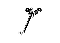 CCCCCCCCCCCCCCCC(=O)OC(CN1CCN(c2ccccn2)CC1)CN1C(=O)c2ccccc2C1=O